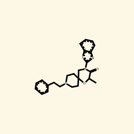 CC1OC2(CCN(CCc3ccccc3)CC2)CN(c2nc3ccccc3s2)C1=O